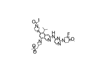 C=CC(=O)N1CC[C@H](c2cc(N3CC(CS(C)(=O)=O)C3)c3cnc(Nc4ccnc(N5CC[C@@H](OC)[C@@H](F)C5)n4)cc3c2C(C)C)C1